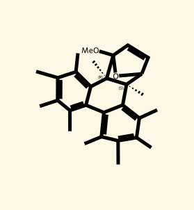 COC12C=CC(O1)[C@@]1(C)c3c(C)c(C)c(C)c(C)c3-c3c(C)c(C)c(C)c(C)c3[C@@]21C